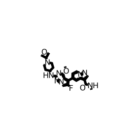 CNC(=O)c1cnn2ccc(-c3c(F)cn4nc(NC5CCN(C6COC6)CC5)nc(OC)c34)cc12